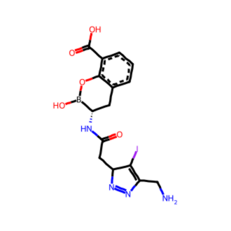 NCC1=C(I)C(CC(=O)N[C@H]2Cc3cccc(C(=O)O)c3OB2O)N=N1